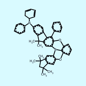 CC1(C)CC(C)(C)c2cc3c(cc21)Oc1cccc2c1B3c1cc3c(c(-c4ccccc4)c1O2)-c1ccc(N(c2ccccc2)C2C=CC=CC2)cc1C3(C)C